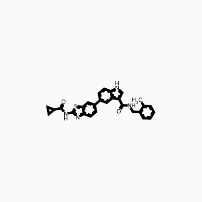 Cc1ccccc1CNC(=O)c1c[nH]c2ccc(-c3ccc4nc(NC(=O)C5CC5)sc4c3)cc12